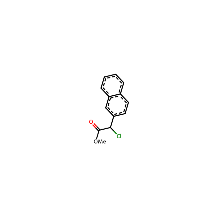 COC(=O)C(Cl)c1ccc2ccccc2c1